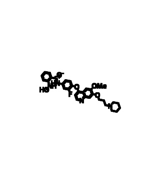 COc1cc2c(Oc3ccc(N[S+]([O-])c4ccccc4NO)cc3F)ccnc2cc1OCCCN1CCCCC1